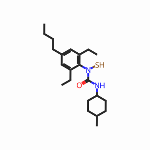 CCCCc1cc(CC)c(N(S)C(=O)NC2CCC(C)CC2)c(CC)c1